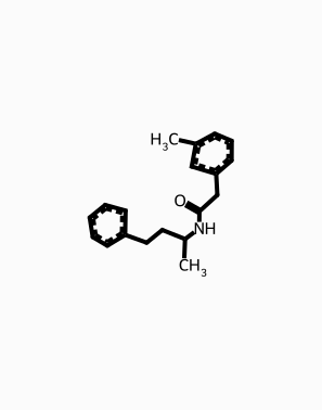 Cc1cccc(CC(=O)NC(C)CCc2ccccc2)c1